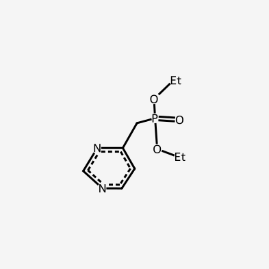 CCOP(=O)(Cc1ccncn1)OCC